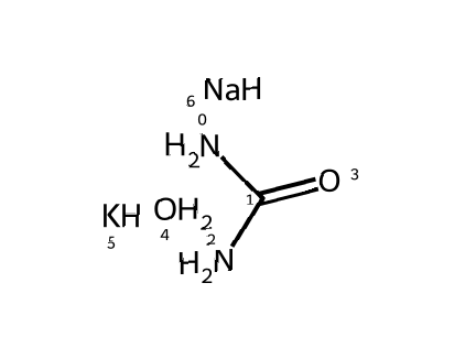 NC(N)=O.O.[KH].[NaH]